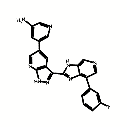 Nc1cncc(-c2cnc3[nH]nc(-c4nc5c(-c6cccc(F)c6)cncc5[nH]4)c3c2)c1